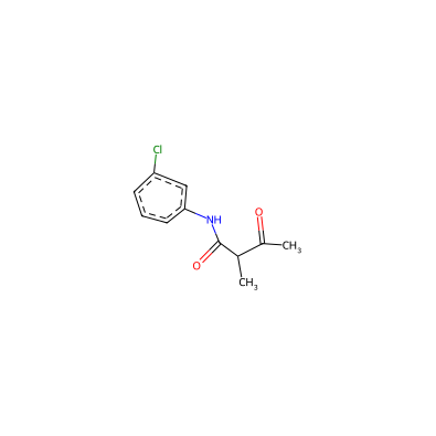 CC(=O)C(C)C(=O)Nc1cccc(Cl)c1